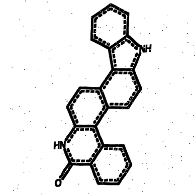 O=c1[nH]c2ccc3c(ccc4[nH]c5ccccc5c43)c2c2ccccc12